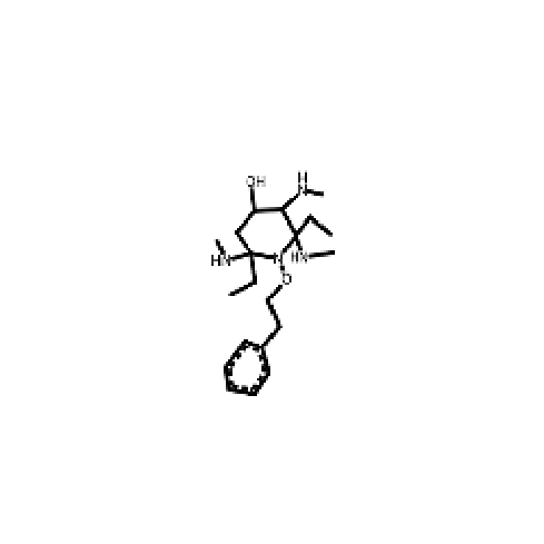 CCC1(NC)CC(O)C(NC)C(CC)(NC)N1OCCc1ccccc1